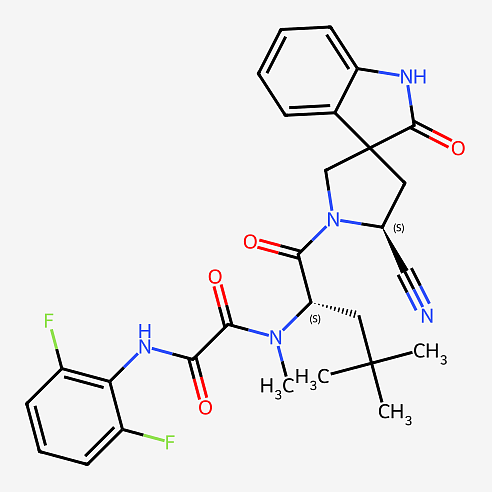 CN(C(=O)C(=O)Nc1c(F)cccc1F)[C@@H](CC(C)(C)C)C(=O)N1CC2(C[C@H]1C#N)C(=O)Nc1ccccc12